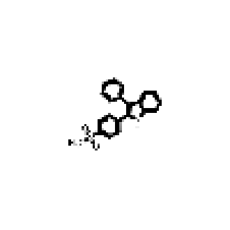 CS(=O)(=O)c1ccc(-c2[nH]c3ccccc3c2-c2ccccc2)cc1